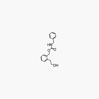 O=C(NCc1ccccc1)OCc1ccccc1CCO